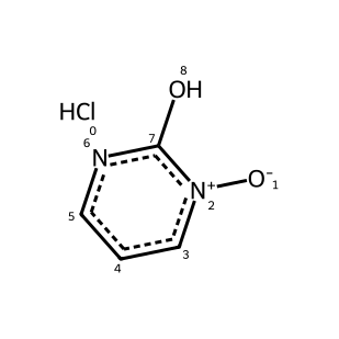 Cl.[O-][n+]1cccnc1O